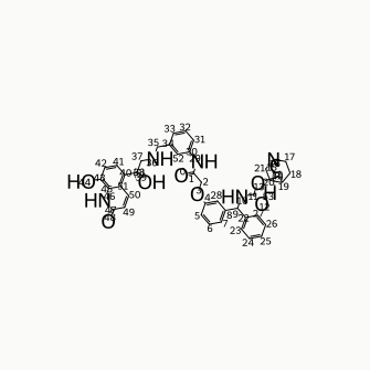 O=C(COc1cccc(C(NC(=O)O[C@H]2CN3CCC2CC3)c2ccccc2)c1)Nc1cccc(CNC[C@@H](O)c2ccc(O)c3[nH]c(=O)ccc23)c1